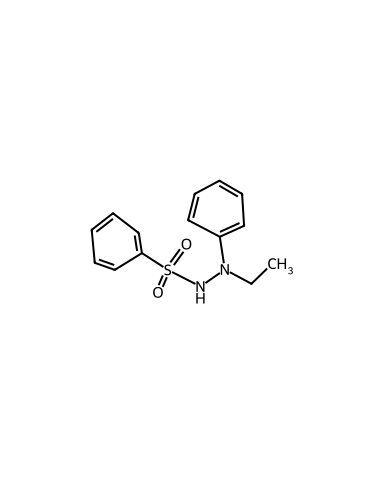 CCN(NS(=O)(=O)c1ccccc1)c1ccccc1